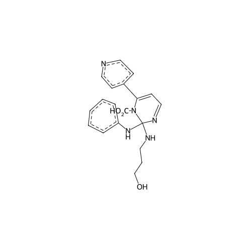 O=C(O)N1C(c2ccncc2)=CC=NC1(NCCCO)Nc1ccccc1